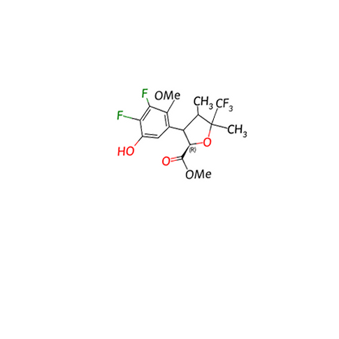 COC(=O)[C@@H]1OC(C)(C(F)(F)F)C(C)C1c1cc(O)c(F)c(F)c1OC